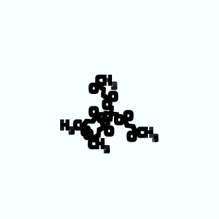 CC(=O)CCC(=O)OCC(COC(=O)CCC(C)=O)(COC(=O)CCC(C)=O)COC(=O)CCC(C)=O